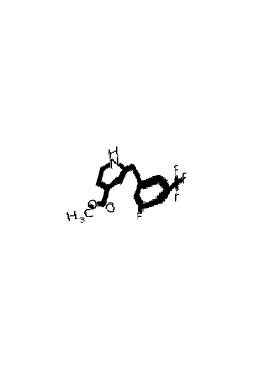 COC(=O)C1CCNC(Cc2cc(F)cc(C(F)(F)F)c2)C1